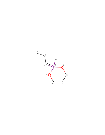 CCC=P1(C)OCCCO1